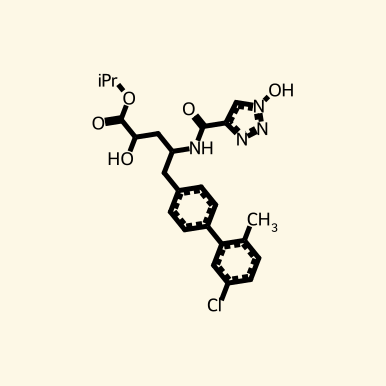 Cc1ccc(Cl)cc1-c1ccc(CC(CC(O)C(=O)OC(C)C)NC(=O)c2cn(O)nn2)cc1